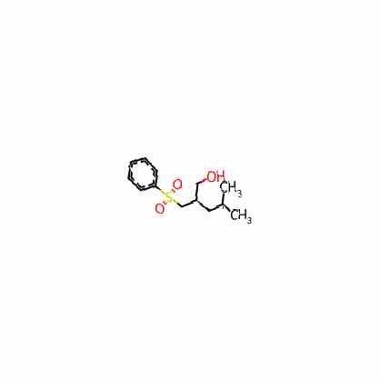 C[C](C)C[C@H](CO)CS(=O)(=O)c1ccccc1